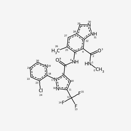 CNC(=O)c1c(NC(=O)c2cc(C(F)(F)F)nn2-c2ncccc2Cl)c(C)cc2cn[nH]c12